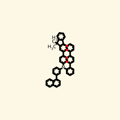 CC1(C)c2ccccc2-c2ccc(-c3ccc(N(c4cccc(-c5cccc6ccccc56)c4)c4ccccc4-c4ccc(-c5ccccc5)cc4)cc3)cc21